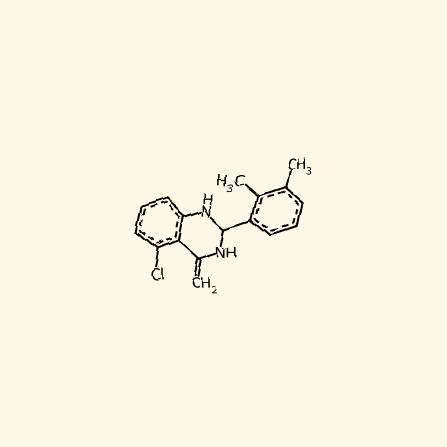 C=C1NC(c2cccc(C)c2C)Nc2cccc(Cl)c21